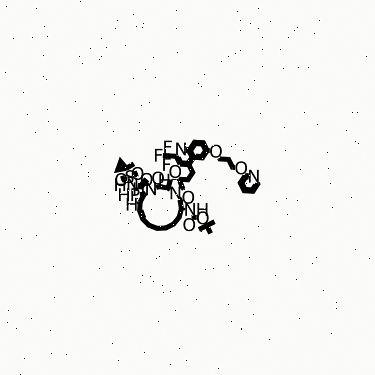 CC(C)(C)OC(=O)N[C@H]1CCCCC/C=C\[C@@H]2P[C@@]2(C(=O)NS(=O)(=O)C2(C)CC2)NC(=O)[C@@H]2C[C@]3(CCc4c(c(C(F)(F)F)nc5ccc(OCCCOc6ccccn6)cc45)O3)CN2C1=O